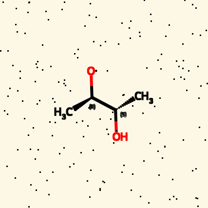 C[C@H](O)[C@@H](C)[O]